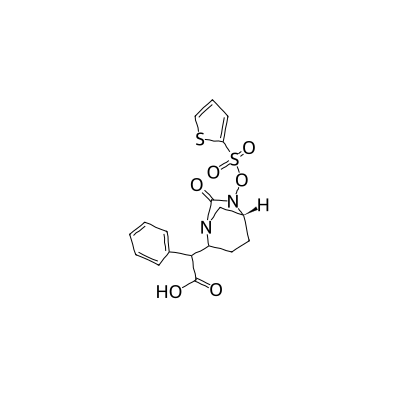 O=C(O)C(c1ccccc1)C1CC[C@@H]2CN1C(=O)N2OS(=O)(=O)c1cccs1